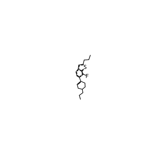 CCCc1cc2ccc(C3=CCC(CCC)CC3)c(F)c2s1